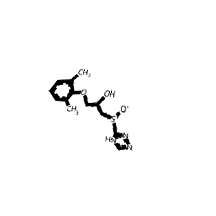 Cc1c[c]cc(C)c1OCC(O)C[S+]([O-])c1nnc[nH]1